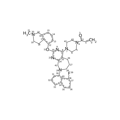 C=CC(=O)N1CCN(c2nc(Oc3cccc4c3CCN(C)C4)nc3c2CCCN(c2cccc4cccc(F)c24)C3)CC1